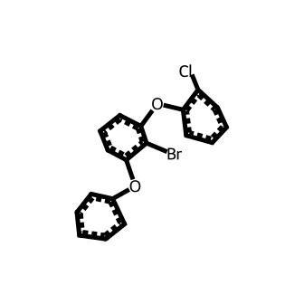 Clc1ccccc1Oc1cccc(Oc2ccccc2)c1Br